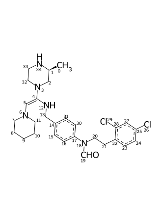 C[C@H]1CN(/C(=C/N2CCCCC2)NCc2ccc(N(C=O)CCc3ccc(Cl)cc3Cl)cc2)CCN1